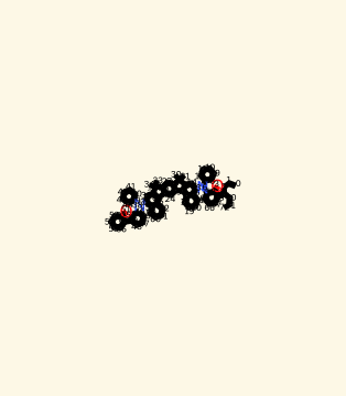 C=Cc1oc2c(N(c3ccccc3)c3cc4c(c5ccccc35)-c3cc5c(cc3C4(C)C)C(C)(C)c3cc(N(c4ccccc4)c4cccc6c4oc4ccccc46)c4ccccc4c3-5)cccc2c1/C=C\C